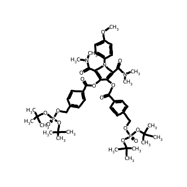 COc1ccc(-n2c(C(=O)N(C)C)c(OC(=O)c3ccc(COP(=O)(OC(C)(C)C)OC(C)(C)C)cc3)c(OC(=O)c3ccc(COP(=O)(OC(C)(C)C)OC(C)(C)C)cc3)c2C(=O)N(C)C)cc1